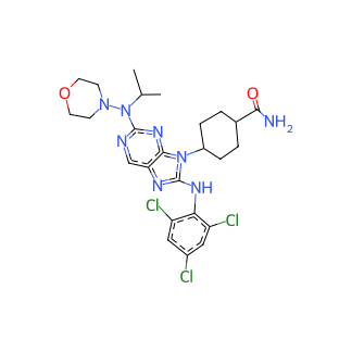 CC(C)N(c1ncc2nc(Nc3c(Cl)cc(Cl)cc3Cl)n(C3CCC(C(N)=O)CC3)c2n1)N1CCOCC1